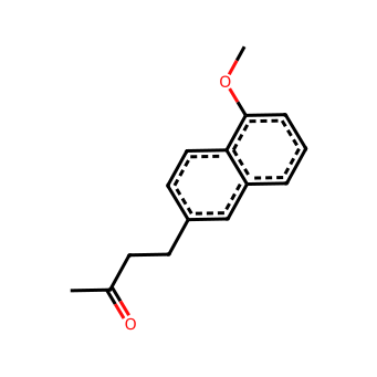 COc1cccc2cc(CCC(C)=O)ccc12